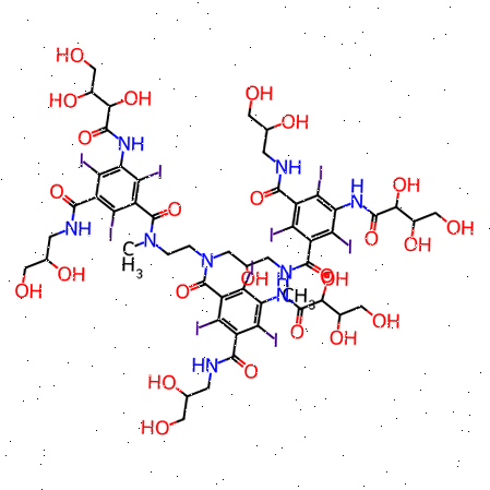 CN(CCN(CC(O)CN(C)C(=O)c1c(I)c(NC(=O)C(O)C(O)CO)c(I)c(C(=O)NCC(O)CO)c1I)C(=O)c1c(I)c(NC(=O)C(O)C(O)CO)c(I)c(C(=O)NCC(O)CO)c1I)C(=O)c1c(I)c(NC(=O)C(O)C(O)CO)c(I)c(C(=O)NCC(O)CO)c1I